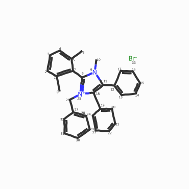 Cc1cccc(C)c1-c1n(C)c(-c2ccccc2)c(-c2ccccc2)[n+]1Cc1ccccc1.[Br-]